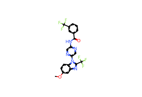 COc1ccc2c(c1)nc(C(F)(F)F)n2-c1cnc(NC(=O)c2cccc(C(F)(F)F)c2)cn1